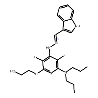 CCCN(CCC)c1nc(OCCO)c(F)c(N/N=C/c2c[nH]c3ccccc23)c1F